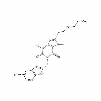 Cn1c(CCNCCO)nc2c1c(=O)n(Cc1cc3cc(Cl)ccc3[nH]1)c(=O)n2C